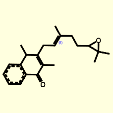 CC1=C(C/C=C(\C)CCC2OC2(C)C)C(C)c2ccccc2C1=O